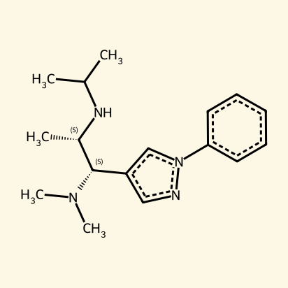 CC(C)N[C@@H](C)[C@H](c1cnn(-c2ccccc2)c1)N(C)C